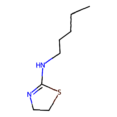 CCCCCNC1=NCCS1